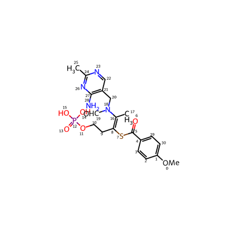 COc1ccc(C(=O)SC(CCOP(=O)(O)O)=C(C)N(C=O)Cc2cnc(C)nc2N)cc1